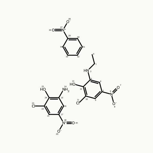 CCNc1cc([N+](=O)[O-])cc(Cl)c1O.Nc1cc([N+](=O)[O-])cc(Cl)c1O.O=[N+]([O-])c1ccccc1